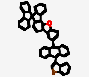 c1ccc2c(c1)-c1ccccc1C21c2ccccc2-c2c1ccc1c2oc2ccc(-c3c4ccccc4c(-c4csc5ccccc45)c4ccccc34)cc21